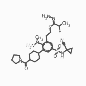 CC(F)/C(=N/N)SCCc1cc(S(=O)(=O)NC2(C#N)CC2)cc(C2CCC(C(=O)N3CCCC3)CC2)c1N(C)N